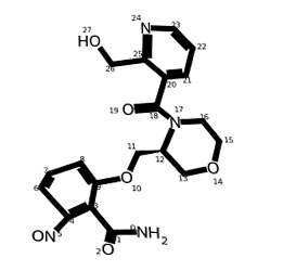 NC(=O)c1c(N=O)cccc1OC[C@@H]1COCCN1C(=O)c1cccnc1CO